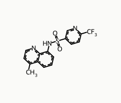 Cc1ccnc2c(NS(=O)(=O)c3ccc(C(F)(F)F)nc3)cccc12